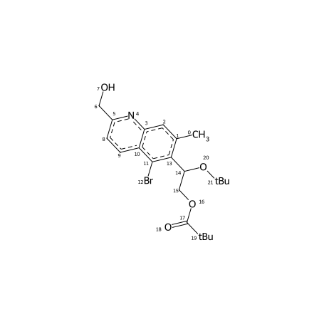 Cc1cc2nc(CO)ccc2c(Br)c1C(COC(=O)C(C)(C)C)OC(C)(C)C